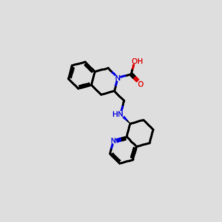 O=C(O)N1Cc2ccccc2CC1CN[C@H]1CCCc2cccnc21